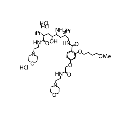 COCCCCOc1cc(OCC(=O)NCCN2CCOCC2)ccc1C(=O)NCC(CC(N)C(O)CC(C(=O)NCCN1CCOCC1)C(C)C)C(C)C.Cl.Cl.Cl